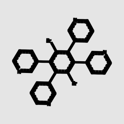 Brc1c(-c2cccnc2)c(-c2cccnc2)c(Br)c(-c2cccnc2)c1-c1cccnc1